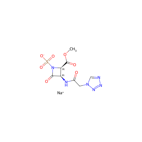 COC(=O)[C@H]1[C@@H](NC(=O)Cn2cnnn2)C(=O)N1S(=O)(=O)[O-].[Na+]